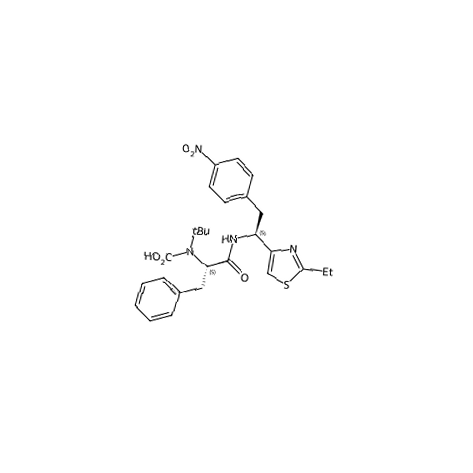 CCc1nc([C@H](Cc2ccc([N+](=O)[O-])cc2)NC(=O)[C@H](Cc2ccccc2)N(C(=O)O)C(C)(C)C)cs1